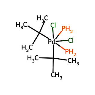 C[C](C)(C)[Pd]([PH2])([PH2])([Cl])([Cl])[C](C)(C)C